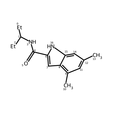 CCC(CC)NC(=O)c1cc2c(C)cc(C)cc2[nH]1